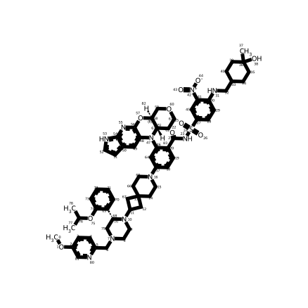 COc1ccc(CN2CCN(C3CC4(CCN(c5ccc(C(=O)NS(=O)(=O)c6ccc(NCC7CCC(C)(O)CC7)c([N+](=O)[O-])c6)c(N6c7cc8cc[nH]c8nc7O[C@H]7COCC[C@@H]76)c5)CC4)C3)[C@@H](c3ccccc3OC(C)C)C2)nc1